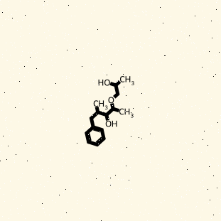 CC(O)COC(C)C(O)C(C)Cc1ccccc1